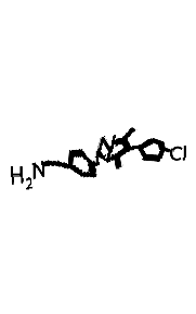 Cc1nn(-c2ccc(CCN)cc2)c(C)c1-c1ccc(Cl)cc1